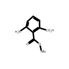 CCCCOC(=O)c1c(N)cccc1C(=O)O